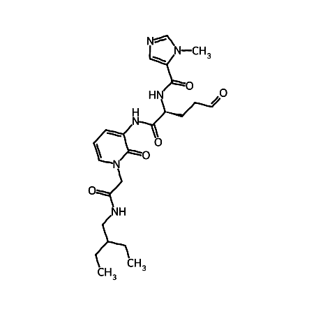 CCC(CC)CNC(=O)Cn1cccc(NC(=O)[C@H](CCC=O)NC(=O)c2cncn2C)c1=O